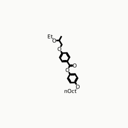 CCCCCCCCOc1ccc(OC(=O)c2ccc(OCC(C)OCC)cc2)cc1